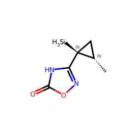 C[C@H]1C[C@@]1([SiH3])c1noc(=O)[nH]1